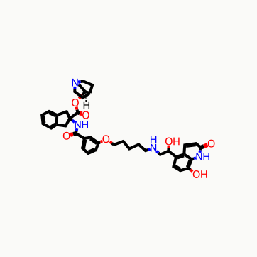 O=C(NC1(C(=O)O[C@H]2CN3CCC2CC3)Cc2ccccc2C1)c1cccc(OCCCCCNCC(O)c2ccc(O)c3[nH]c(=O)ccc23)c1